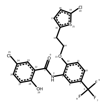 O=C(Nc1cc(C(F)(F)F)ccc1OCCc1ccc(Cl)s1)c1cc(Cl)ccc1O